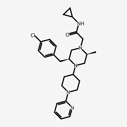 C[C@H]1CN(C2CCN(c3ccccn3)CC2)[C@@H](Cc2ccc(Cl)cc2)CN1CC(=O)NC1CC1